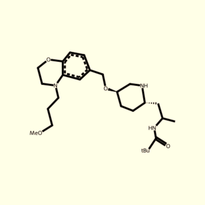 COCCCN1CCOc2ccc(CO[C@@H]3CC[C@@H](CC(C)NC(=O)C(C)(C)C)NC3)cc21